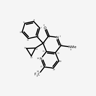 CNC1=NC(=O)C(c2ccccc2)(C2CC2)c2nc(C(F)(F)F)ccc21